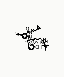 Cc1cc(C#N)cc(C(=O)NOCC2CC2)c1NC(=O)c1cc(Cn2nnc(C(F)(F)F)n2)nn1-c1ncccc1Cl